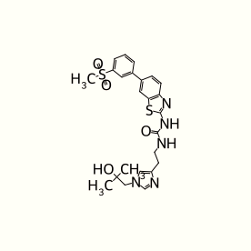 CC(C)(O)Cn1cnc(CCNC(=O)Nc2nc3ccc(-c4cccc(S(C)(=O)=O)c4)cc3s2)c1